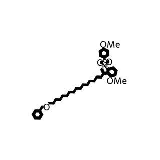 COc1ccc(S(=O)(=O)n2cc(C=CCCCCCCCCCCCCCCOCc3ccccc3)c3c(OC)cccc32)cc1